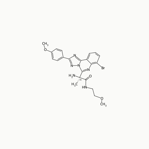 COCCNC(=O)[C@@](C)(N)c1nc2c(Br)cccc2c2nc(-c3ccc(OC)cc3)nn12